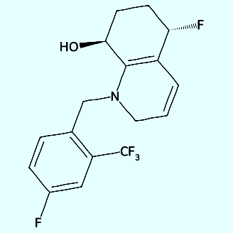 O[C@H]1CC[C@H](F)C2=C1N(Cc1ccc(F)cc1C(F)(F)F)CC=C2